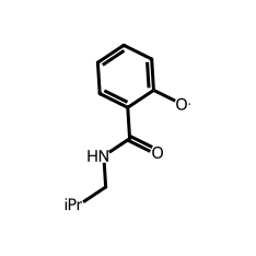 CC(C)CNC(=O)c1ccccc1[O]